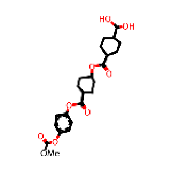 COC(=O)Oc1ccc(OC(=O)C2CCC(OC(=O)C3CCC(C(O)O)CC3)CC2)cc1